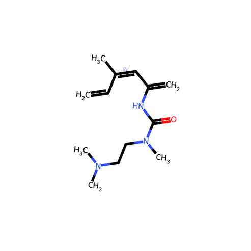 C=C/C(C)=C\C(=C)NC(=O)N(C)CCN(C)C